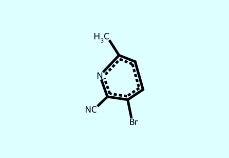 Cc1ccc(Br)c(C#N)n1